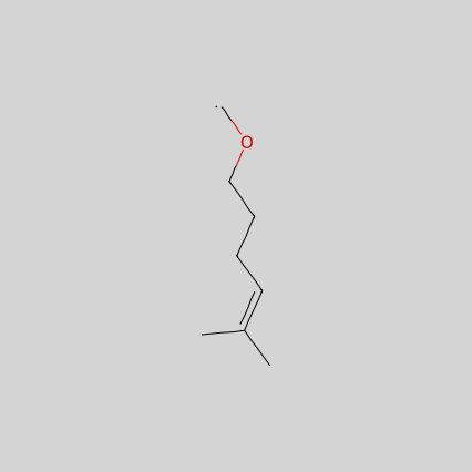 [CH2]OCCCC=C(C)C